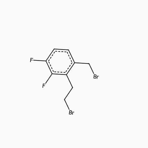 Fc1ccc(CBr)c(CCBr)c1F